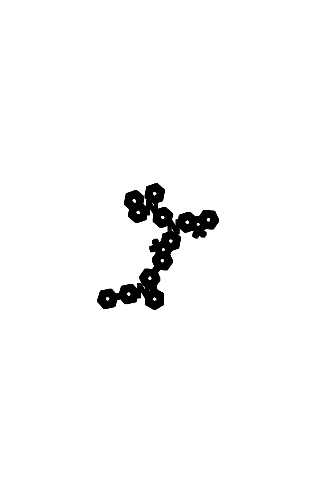 CC1(C)c2ccccc2-c2ccc(N(c3ccc(N(c4ccccc4)c4cccc5ccccc45)cc3)c3ccc4c(c3)C(C)(C)c3cc(-c5ccc6c(c5)c5ccccc5n6-c5ccc(-c6ccccc6)cc5)ccc3-4)cc21